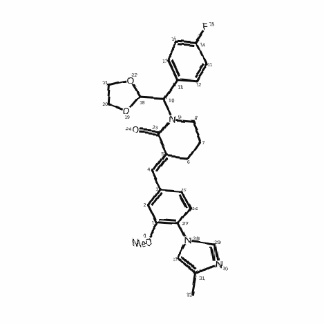 COc1cc(C=C2CCCN(C(c3ccc(F)cc3)C3OCCO3)C2=O)ccc1-n1cnc(C)c1